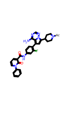 CC(=O)N1CCC(c2cc(-c3ccc(NC(=O)c4cccn(-c5ccccc5)c4=O)cc3F)c3c(N)ncnn23)CC1